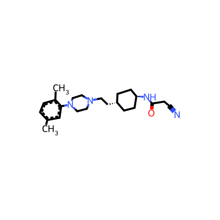 Cc1ccc(C)c(N2CCN(CC[C@H]3CC[C@H](NC(=O)CC#N)CC3)CC2)c1